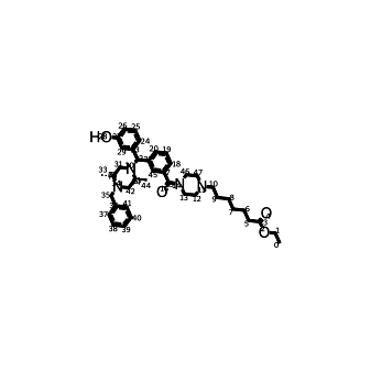 CCOC(=O)CCCCCCN1CCN(C(=O)c2cccc(C(c3cccc(O)c3)N3C[C@@H](C)N(Cc4ccccc4)C[C@@H]3C)c2)CC1